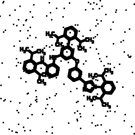 CC(C)c1cccc(C(C)C)c1Nc1ccccc1Nc1cc(Oc2cccc(-c3cn(-c4c(C(C)C)cccc4C(C)C)cn3)c2)cc(-c2c(C(C)C)cccc2C(C)C)c1